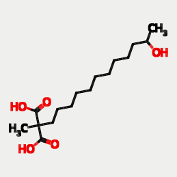 CC(O)CCCCCCCCCCC(C)(C(=O)O)C(=O)O